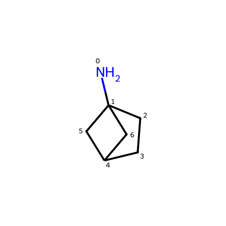 NC12CCC(C1)C2